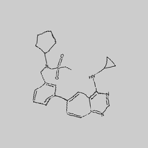 CS(=O)(=O)N(Cc1cccc(-c2ccc3ncnc(NC4CC4)c3c2)c1)C1CCCC1